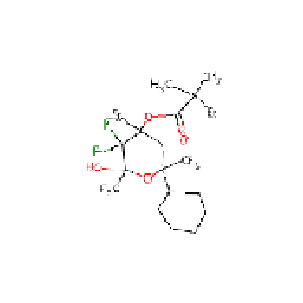 CCC(C)(C)C(=O)OC1(CC)CC(C2CCCCC2)(C(F)(F)F)OC(O)(C(F)(F)F)C1(F)F